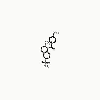 COc1ccc(C(=O)c2c(C(=O)O)ccc3cc(S(N)(=O)=O)ccc23)cc1